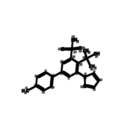 Cc1ccc(-c2cc(-n3cccn3)c(C(C)(C)O)c(S(N)(=O)=O)c2)cc1